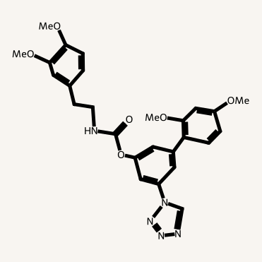 COc1ccc(-c2cc(OC(=O)NCCc3ccc(OC)c(OC)c3)cc(-n3cnnn3)c2)c(OC)c1